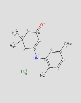 COc1ccc(C#N)c(NC2=CC(=O)CC(C)(C)C2)c1.Cl